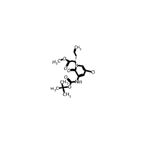 C=CC[C@@H](C(=O)OC)n1cc(Cl)cc(NC(=O)OC(C)(C)C)c1=O